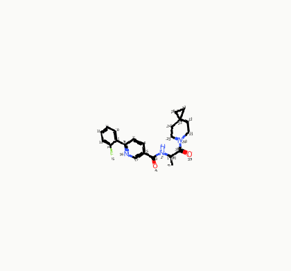 C[C@@H](NC(=O)c1ccc(-c2ccccc2F)nc1)C(=O)N1CCC2(CC1)CC2